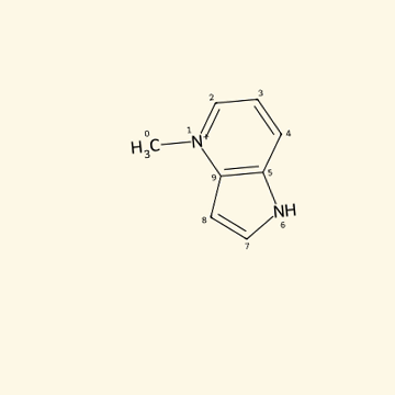 C[n+]1cccc2[nH]ccc21